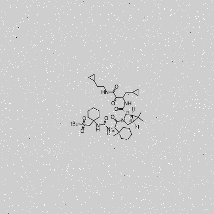 CC1([C@H](NC(=O)NC2(CS(=O)(=O)C(C)(C)C)CCCCC2)C(=O)N2C[C@H]3[C@@H]([C@H]2C(=O)NC(CC2CC2)C(=O)C(=O)NCCC2CC2)C3(C)C)CCCCC1